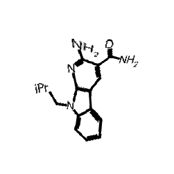 CC(C)CN1c2ccccc2C2C=C(C(N)=O)C(N)=NC21